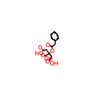 O=C(O)CC(CC(=O)O)(OC(=O)Cc1ccccc1)C(=O)O